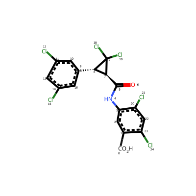 O=C(O)c1cc(NC(=O)[C@H]2[C@H](c3cc(Cl)cc(Cl)c3)C2(Cl)Cl)c(Cl)cc1Cl